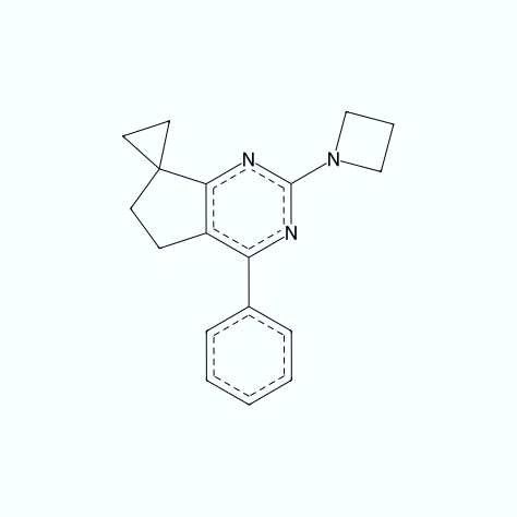 c1ccc(-c2nc(N3CCC3)nc3c2CCC32CC2)cc1